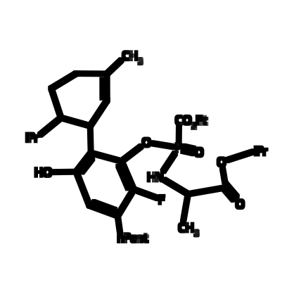 CCCCCc1cc(O)c(C2C=C(C)CCC2C(C)C)c(OP(=O)(NC(C)C(=O)OC(C)C)C(=O)OCC)c1F